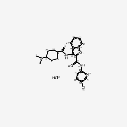 CN(C)C1CCC(C(=O)Nc2c(C(=O)Nc3ccc(Cl)cn3)oc3ccccc23)CC1.Cl